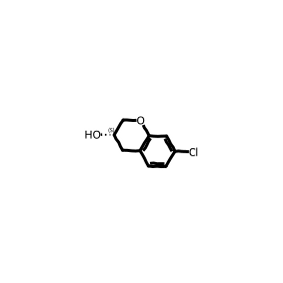 O[C@@H]1COc2cc(Cl)ccc2C1